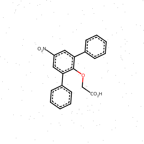 O=C(O)COc1c(-c2ccccc2)cc([N+](=O)[O-])cc1-c1ccccc1